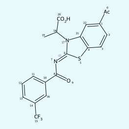 CC(=O)c1ccc2s/c(=N\C(=O)c3cccc(C(F)(F)F)c3)n(C(C)C(=O)O)c2c1